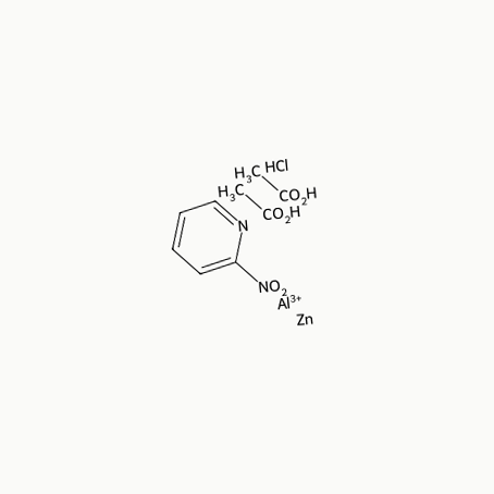 CC(=O)O.CC(=O)O.Cl.O=[N+]([O-])c1ccccn1.[Al+3].[Zn]